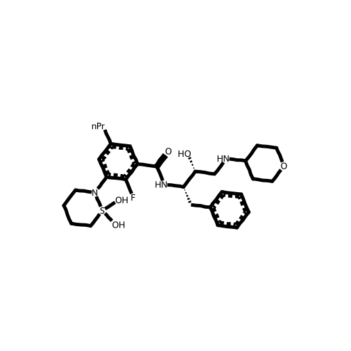 CCCc1cc(C(=O)N[C@@H](Cc2ccccc2)[C@H](O)CNC2CCOCC2)c(F)c(N2CCCCS2(O)O)c1